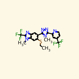 CCSc1cc2c(cc1-c1nnc(-c3cc(C(F)(F)F)ccn3)n1C)nc(C(F)(F)F)n2C